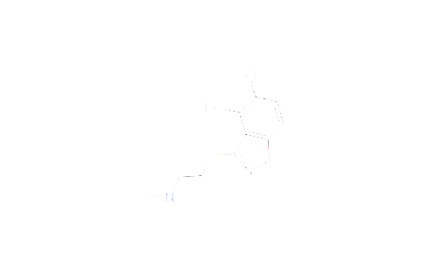 Cc1c(Cl)ccc2onc(SCCN)c12